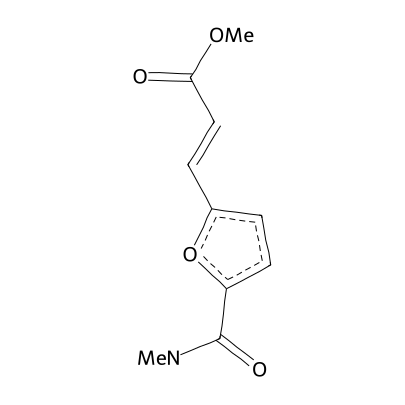 CNC(=O)c1ccc(C=CC(=O)OC)o1